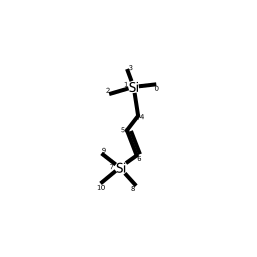 C[Si](C)(C)[CH]C=C[Si](C)(C)C